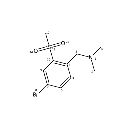 CN(C)Cc1ccc(Br)cc1S(C)(=O)=O